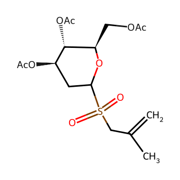 C=C(C)CS(=O)(=O)C1C[C@@H](OC(C)=O)[C@H](OC(C)=O)[C@@H](COC(C)=O)O1